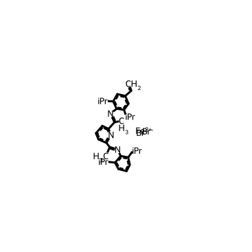 C=Cc1cc(C(C)C)c(N=C(C)c2cccc(C(C)=Nc3c(C(C)C)cccc3C(C)C)n2)c(C(C)C)c1.[Br-].[Br-].[Fe+2]